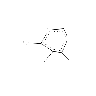 CSc1ncnc(Cl)c1N